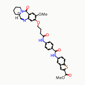 COC(=O)c1cc2cc(NC(=O)c3ccc(NC(=O)CCCOc4cc5c(cc4OC)C(=O)N4CCCC[C@@H]4C=N5)cc3)ccc2s1